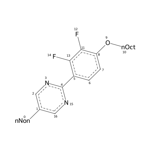 CCCCCCCCCc1cnc(-c2ccc(OCCCCCCCC)c(F)c2F)nc1